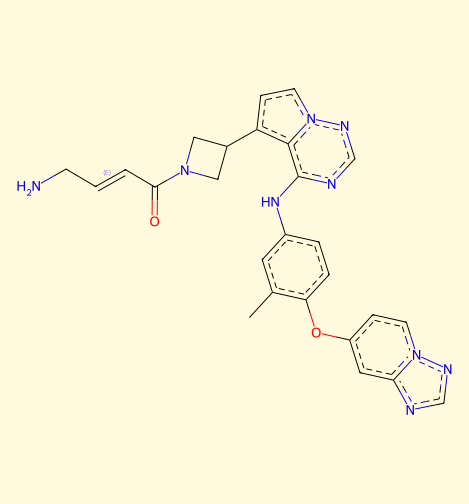 Cc1cc(Nc2ncnn3ccc(C4CN(C(=O)/C=C/CN)C4)c23)ccc1Oc1ccn2ncnc2c1